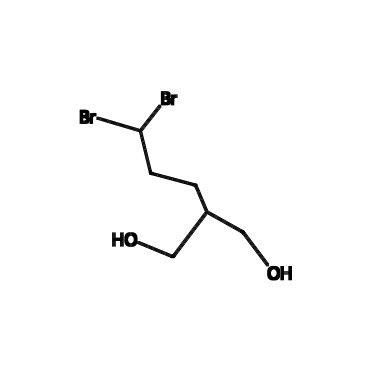 OCC(CO)CCC(Br)Br